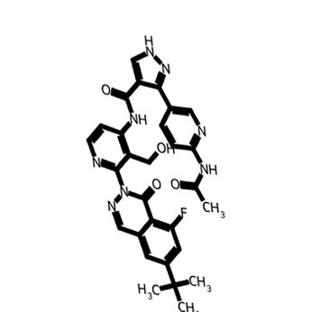 CC(=O)Nc1ccc(-c2n[nH]cc2C(=O)Nc2ccnc(-n3ncc4cc(C(C)(C)C)cc(F)c4c3=O)c2CO)cn1